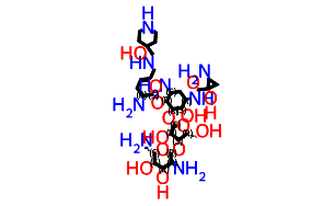 NC[C@@H]1O[C@H](O[C@H]2[C@@H](O)[C@H](O[C@@H]3[C@@H](O)[C@H](NC(=O)C4(O)CC4N)C[C@H](N)[C@H]3O[C@H]3OC(CNCC4(O)CCNCC4)=CC[C@H]3N)O[C@@H]2CO)[C@H](N)[C@@H](O)[C@@H]1O